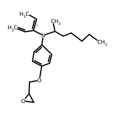 C=C/C(=C\C)N(c1ccc(OCC2CO2)cc1)C(C)CCCCC